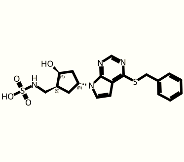 O=S(=O)(O)NC[C@@H]1C[C@@H](n2ccc3c(SCc4ccccc4)ncnc32)C[C@@H]1O